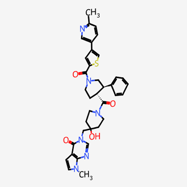 Cc1ccc(-c2csc(C(=O)N3CC[C@@H](C(=O)N4CCC(O)(Cn5cnc6c(ccn6C)c5=O)CC4)[C@H](c4ccccc4)C3)c2)cn1